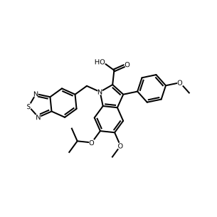 COc1ccc(-c2c(C(=O)O)n(Cc3ccc4nsnc4c3)c3cc(OC(C)C)c(OC)cc23)cc1